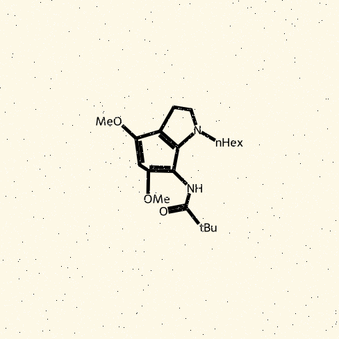 CCCCCCN1CCc2c(OC)cc(OC)c(NC(=O)C(C)(C)C)c21